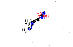 Cc1c(C)n(CCCN2CCN(C)CC2)c2ccc(Cc3cccc(C(=O)Nc4cc(O)c(-n5ccnc5)c(O)c4)c3)cc12